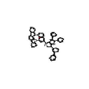 c1ccc(-c2cccc(-c3cnc(-c4cccc(-n5c6ccccc6c6ccc7c8ccccc8n(-c8ccccc8)c7c65)c4)c4nc(-c5ccccc5)c(-c5ccccc5)nc34)c2)cc1